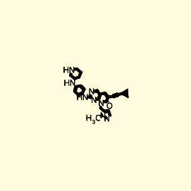 Cn1nccc1Cn1c(=O)c(C#CC2CC2)cc2cnc(Nc3ccc(NC4CCCNC4)cc3)nc21